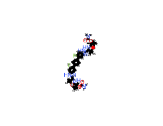 CN(C)C(=O)OC(C)(C(=O)N[C@H](c1nc2cc(-c3ccc(-c4cc5nc([C@@H](NC(=O)[C@](C)(OC(=O)N(C)C)C(C)(C)C)C(C)(C)C)[nH]c5cc4F)cc3)c(F)cc2[nH]1)C(C)(C)C)C(C)(C)C